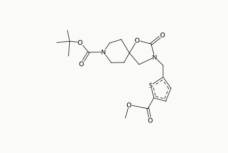 COC(=O)c1ccc(CN2CC3(CCN(C(=O)OC(C)(C)C)CC3)OC2=O)s1